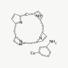 C1=Cc2cc3ccc(cc4nc(cc5ccc(cc1n2)[nH]5)C=C4)[nH]3.Nc1ccc[c]([Cu])c1